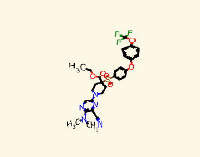 CCOC(=O)C1(S(=O)(=O)c2ccc(Oc3ccc(OC(F)(F)F)cc3)cc2)CCN(c2cnc(N(C)C)c(C#N)n2)CC1